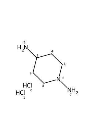 Cl.Cl.NC1CCN(N)CC1